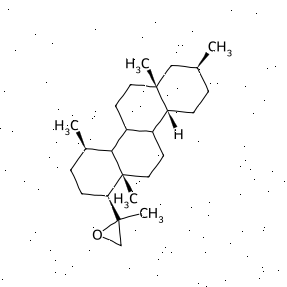 C[C@H]1CC[C@@H]2C3CC[C@@]4(C)C(C3CC[C@]2(C)C1)[C@H](C)CC[C@@H]4C1(C)CO1